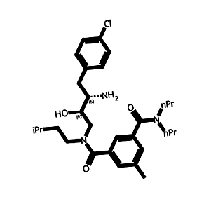 CCCN(CCC)C(=O)c1cc(C)cc(C(=O)N(CCC(C)C)C[C@@H](O)[C@@H](N)Cc2ccc(Cl)cc2)c1